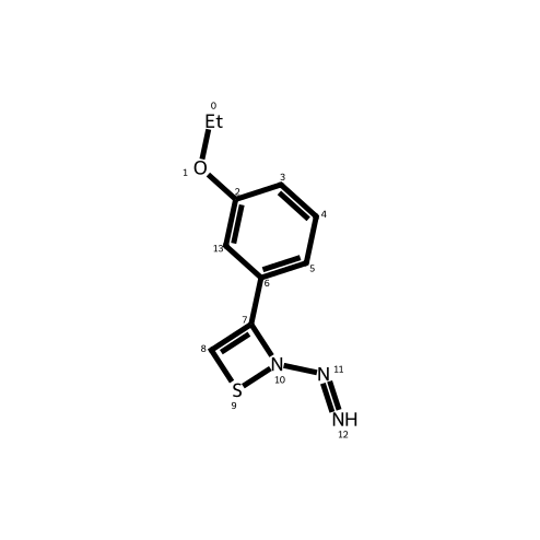 CCOc1cccc(-c2csn2N=N)c1